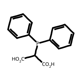 O=C(O)C(C(=O)O)P(c1ccccc1)c1ccccc1